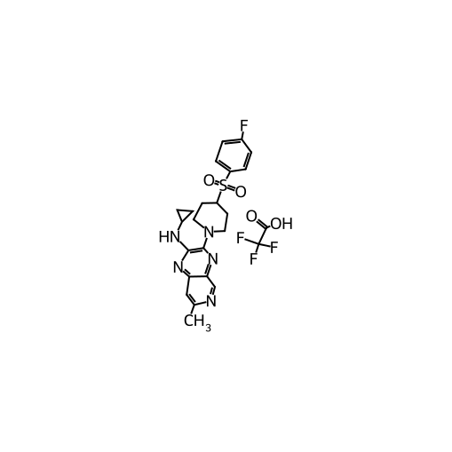 Cc1cc2nc(NC3CC3)c(N3CCC(S(=O)(=O)c4ccc(F)cc4)CC3)nc2cn1.O=C(O)C(F)(F)F